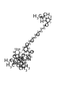 CNC(C)c1cccc(OCCCCCOCCCOCCOc2cccc(C(=O)c3cnc(C4CCCN4C(=O)[C@@H](NC(=O)C(C)N(C)C(=O)OC(C)(C)C)C4CCCCC4)s3)c2)c1